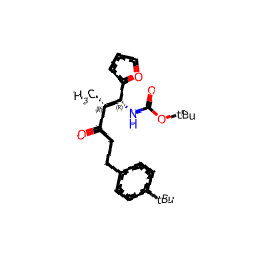 C[C@@H](C(=O)CCc1ccc(C(C)(C)C)cc1)[C@@H](NC(=O)OC(C)(C)C)c1ccco1